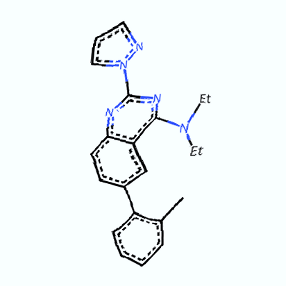 CCN(CC)c1nc(-n2cccn2)nc2ccc(-c3ccccc3C)cc12